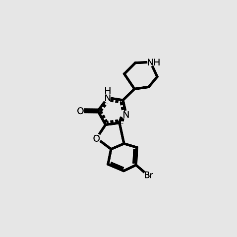 O=c1[nH]c(C2CCNCC2)nc2c1OC1C=CC(Br)=CC21